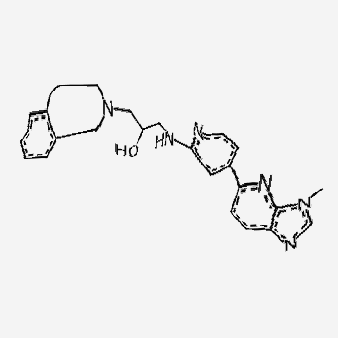 Cn1cnc2ccc(-c3ccnc(NCC(O)CN4CCc5ccccc5C4)c3)nc21